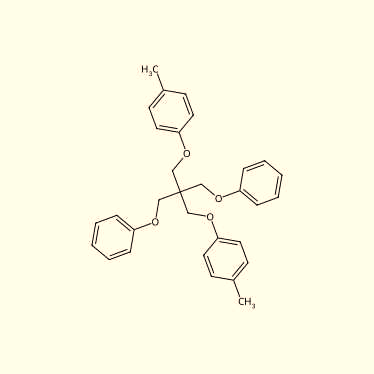 Cc1ccc(OCC(COc2ccccc2)(COc2ccccc2)COc2ccc(C)cc2)cc1